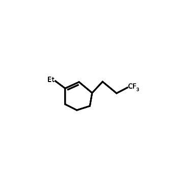 [CH2]CC1=CC(CCC(F)(F)F)CCC1